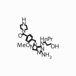 CCC[C@@H](CCO)Nc1nc(N)nc2cnn(Cc3ccc(C(=O)N4CCNCC4)cc3OC)c12